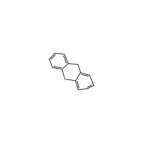 c1cc[c]2c(c1)Cc1cccc[c]1[Y]2